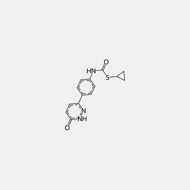 O=C(Nc1ccc(-c2ccc(=O)[nH]n2)cc1)SC1CC1